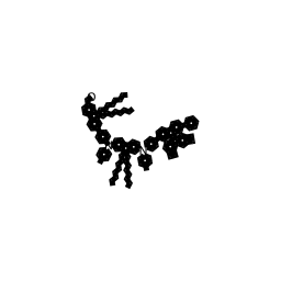 CCCCCCCCC1(CCCCCCCC)c2cc(C=O)ccc2-c2ccc(-c3ccc(N(c4ccc(C)cc4)c4ccc5c(c4)C(CCCCCCCC)(CCCCCCCC)c4cc(N(c6ccc(C)cc6)c6ccc(-c7ccc8c(c7)C(c7ccc9c(c7)CC9)(c7ccc9c(c7)CC9)c7cc(-c9ccccc9)ccc7-8)cc6)ccc4-5)cc3)cc21